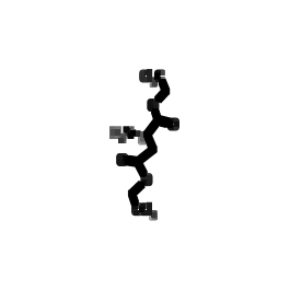 N[C@@H](CC(=O)OCC(Cl)(Cl)Cl)C(=O)OCC(Cl)(Cl)Cl